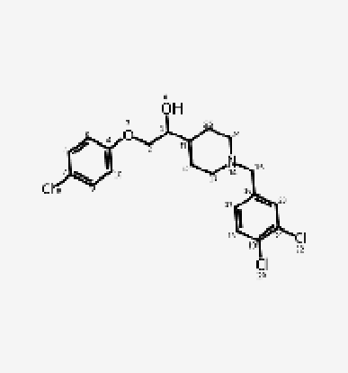 OC(COc1ccc(Cl)cc1)C1CCN(Cc2ccc(Cl)c(Cl)c2)CC1